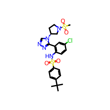 CC(C)(C)c1ccc(S(=O)(=O)Nc2ccc(Cl)cc2-c2nncn2[C@H]2CCN(S(C)(=O)=O)C2)cc1